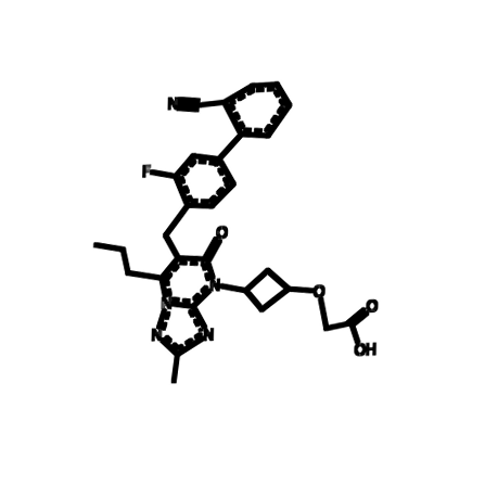 CCCc1c(Cc2ccc(-c3ccccc3C#N)cc2F)c(=O)n(C2CC(OCC(=O)O)C2)c2nc(C)nn12